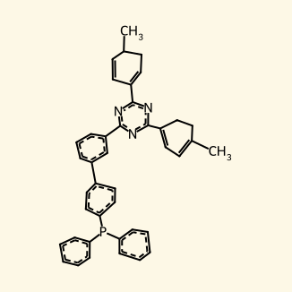 CC1=CC=C(c2nc(C3=CCC(C)C=C3)nc(-c3cccc(-c4ccc(P(c5ccccc5)c5ccccc5)cc4)c3)n2)CC1